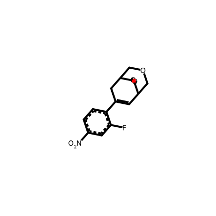 O=[N+]([O-])c1ccc(C2=CC3COCC(C2)C32OCCO2)c(F)c1